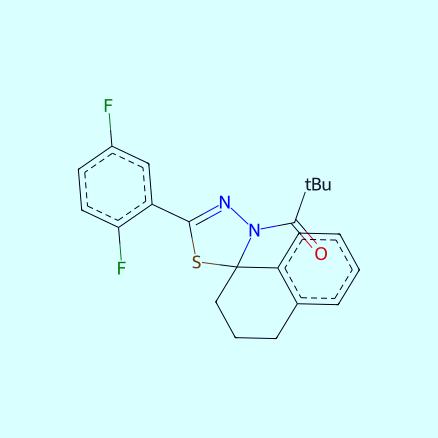 CC(C)(C)C(=O)N1N=C(c2cc(F)ccc2F)SC12CCCc1ccccc12